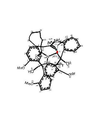 COc1ccccc1C(O)(c1ccccc1OC)[C@@H](CC(C)C)N(C(=O)C1(C(N)=O)CCCCC1)[C@H](CC(C)C)C(O)(c1ccccc1OC)c1ccccc1OC